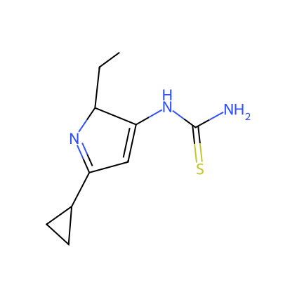 CCC1N=C(C2CC2)C=C1NC(N)=S